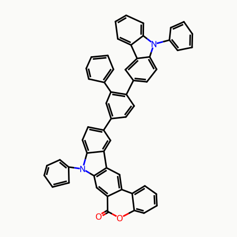 O=c1oc2ccccc2c2cc3c4cc(-c5ccc(-c6ccc7c(c6)c6ccccc6n7-c6ccccc6)c(-c6ccccc6)c5)ccc4n(-c4ccccc4)c3cc12